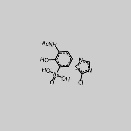 CC(=O)Nc1cccc([As](=O)(O)O)c1O.Clc1ncns1